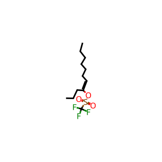 CCCCCC/C=C(\CCC)OS(=O)(=O)C(F)(F)F